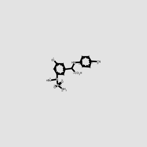 CCCCN(c1cc(CC)cc(C(Nc2ccc(C#N)cc2)C(=O)O)c1)S(N)(=O)=O